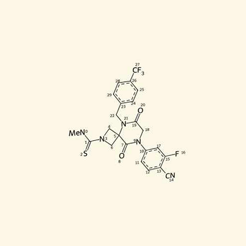 CNC(=S)N1CC2(C1)C(=O)N(c1ccc(C#N)c(F)c1)CC(=O)N2Cc1ccc(C(F)(F)F)cc1